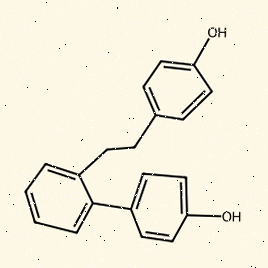 Oc1ccc(CCc2ccccc2-c2ccc(O)cc2)cc1